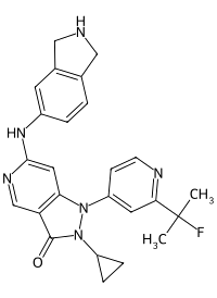 CC(C)(F)c1cc(-n2c3cc(Nc4ccc5c(c4)CNC5)ncc3c(=O)n2C2CC2)ccn1